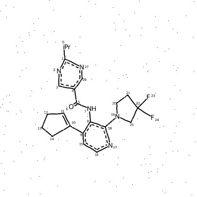 CC(C)c1ncc(C(=O)Nc2c(C3=CCCC3)ccnc2N2CCC(F)(F)C2)cn1